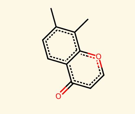 Cc1ccc2c(=O)ccoc2c1C